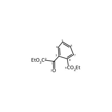 CCOC(=O)C(=O)c1ccccc1C(=O)OCC